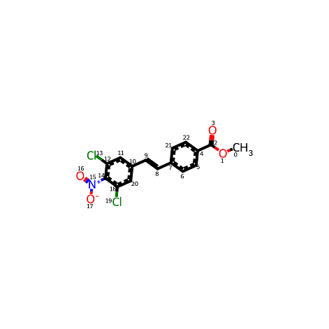 COC(=O)c1ccc(C=Cc2cc(Cl)c([N+](=O)[O-])c(Cl)c2)cc1